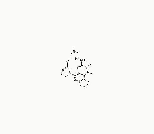 CC(C)NC(=O)C(C)N(C)c1nc(-c2cc(OCCN(C)C)ccn2)nc2c1CCC2